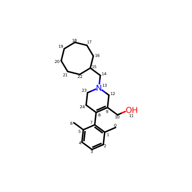 Cc1cccc(C)c1C1=C(CO)CN(CC2CCCCCCC2)CC1